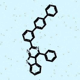 c1ccc(-c2ccc(-c3cccc(-c4nc(-c5ccccc5)c5c(n4)sc4ccccc45)c3)cc2)cc1